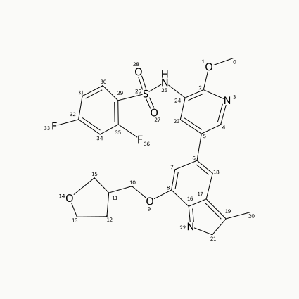 COc1ncc(-c2cc(OCC3CCOC3)c3c(c2)=C(C)CN=3)cc1NS(=O)(=O)c1ccc(F)cc1F